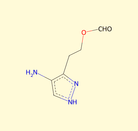 Nc1c[nH]nc1CCOC=O